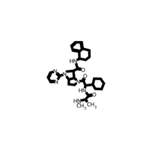 CNC(C)C(=O)NC(C(=O)N1CCC2C1C(C(=O)NC1CCCc3ccccc31)CN2c1ncccn1)C1CCCCC1